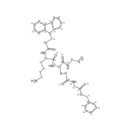 NCCCCC(NC(=O)OCC1c2ccccc2-c2ccccc21)C(=O)NC(CCC(=O)NCC(=O)OCc1ccccc1)C(=O)NCC=O